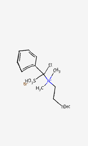 CCCCCCCCCCCC[N+](C)(C)C(CC)(c1ccccc1)S(=O)(=O)O.[Br-]